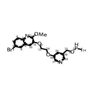 COc1nc2ccc(Br)cc2cc1OCCOc1cncc(COPI)c1